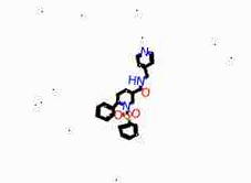 O=C(NCc1ccncc1)C1CCC(c2ccccc2)N(S(=O)(=O)c2ccccc2)C1